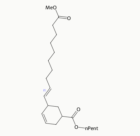 CCCCCOC(=O)C1CC=CC(/C=C/CCCCCCCC(=O)OC)C1